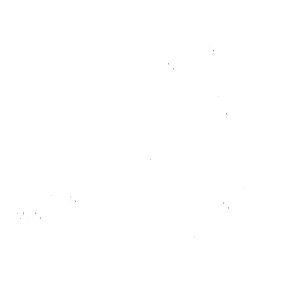 CNC(=O)Nc1ccc2c(c1)C(=O)/C(=C/c1cn(C)c3nccc(N4CCC(C(=O)N5CCOCC5)CC4)c13)O2